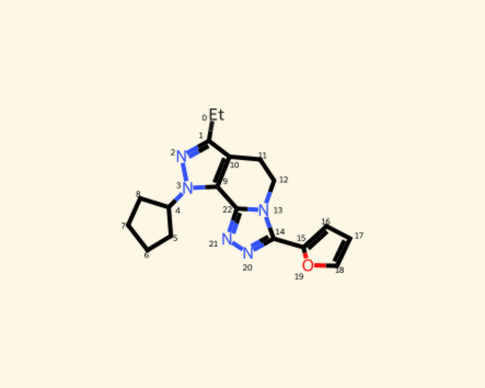 CCc1nn(C2CCCC2)c2c1CCn1c(-c3ccco3)nnc1-2